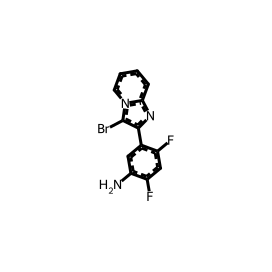 Nc1cc(-c2nc3ccccn3c2Br)c(F)cc1F